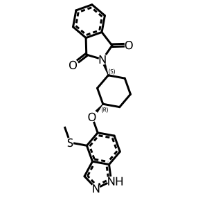 CSc1c(O[C@@H]2CCC[C@H](N3C(=O)c4ccccc4C3=O)C2)ccc2[nH]ncc12